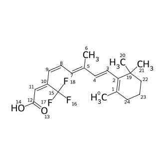 CC1=C(/C=C/C(C)=C/C=C\C(=C\C(=O)O)C(F)(F)F)C(C)(C)CCC1